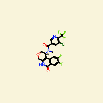 CN(C(=O)c1cnc(C(F)(F)F)c(Cl)c1)[C@@H]1COCc2[nH]c(=O)c3cc(F)c(F)cc3c21